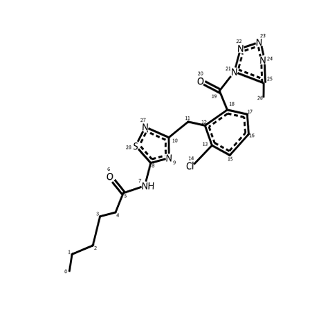 CCCCCC(=O)Nc1nc(Cc2c(Cl)cccc2C(=O)n2nnnc2C)ns1